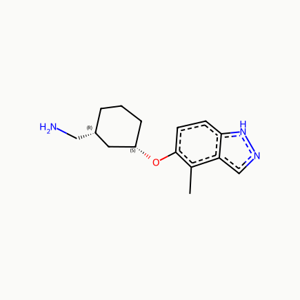 Cc1c(O[C@H]2CCC[C@@H](CN)C2)ccc2[nH]ncc12